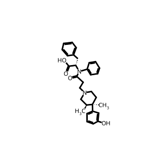 C[C@H]1CN(CCC(=O)N(c2ccccc2)[C@@H](Cc2ccccc2)C(=O)O)CC[C@@]1(C)c1cccc(O)c1